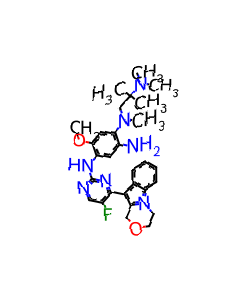 COc1cc(N(C)CC(C)(C)N(C)C)c(N)cc1Nc1ncc(F)c(-c2c3n(c4ccccc24)CCOC3)n1